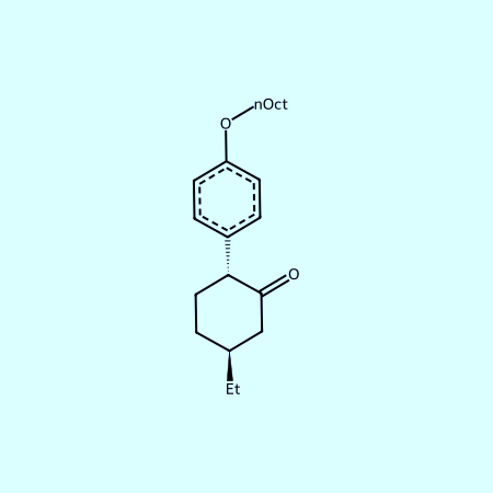 CCCCCCCCOc1ccc([C@H]2CC[C@H](CC)CC2=O)cc1